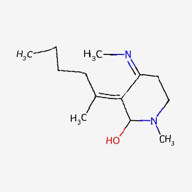 CCCC/C(C)=C1\C(=N/C)CCN(C)C1O